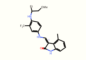 CCC(COC)Nc1ccc(N/C=C2\C(=O)Nc3cccc(C)c32)cc1C(F)(F)F